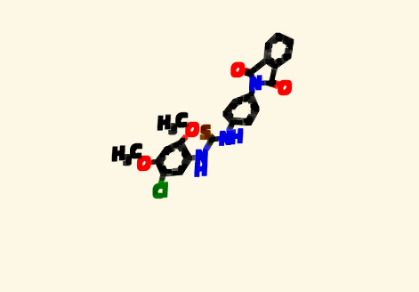 COc1cc(OC)c(NC(=S)Nc2ccc(N3C(=O)c4ccccc4C3=O)cc2)cc1Cl